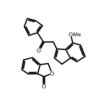 COc1cccc2c1C(CC(=O)c1ccccc1)=CC2.O=C1OCc2ccccc21